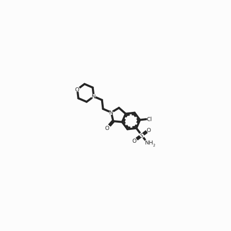 NS(=O)(=O)c1cc2c(cc1Cl)CN(CCN1CCOCC1)C2=O